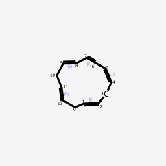 [CH]1/C=C/C\C=C/C=C/C=C/C/C=C/1